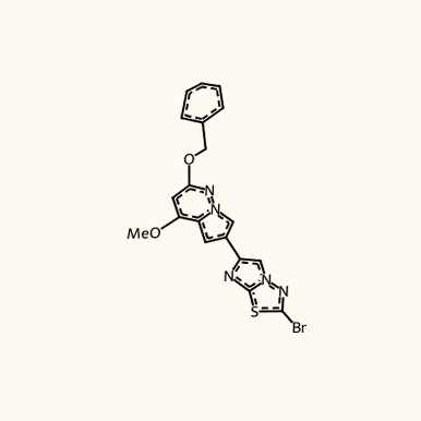 COc1cc(OCc2ccccc2)nn2cc(-c3cn4nc(Br)sc4n3)cc12